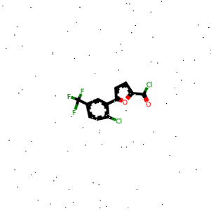 O=C(Cl)c1ccc(-c2cc(C(F)(F)F)ccc2Cl)o1